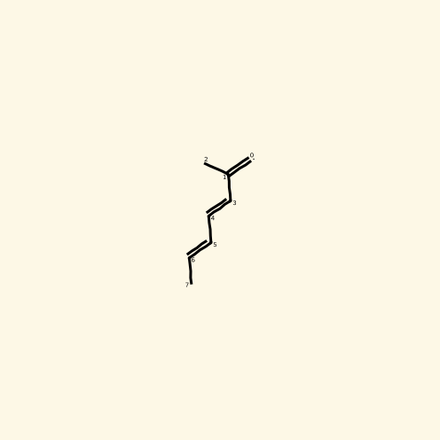 [CH]=C(C)C=CC=CC